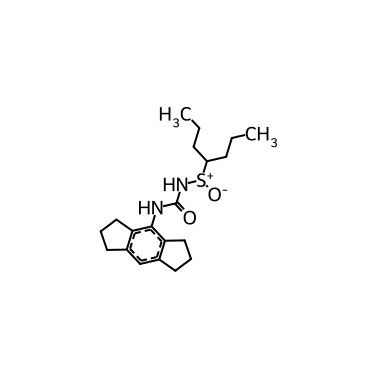 CCCC(CCC)[S+]([O-])NC(=O)Nc1c2c(cc3c1CCC3)CCC2